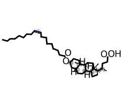 CCCCCCCC/C=C\CCCCCCCC(=O)O[C@@H]1CC[C@@]2(C)[C@H](CC[C@@H]3[C@@H]2CC[C@]2(C)[C@@H]([C@H](C)CCC(=O)O)CC[C@@H]32)C1